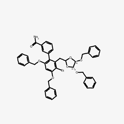 CCc1c(OCc2ccccc2)cc(OCc2ccccc2)c(-c2cccc(C(N)=O)c2)c1CC1O[C@@H](OCc2ccccc2)[C@H](OCc2ccccc2)O1